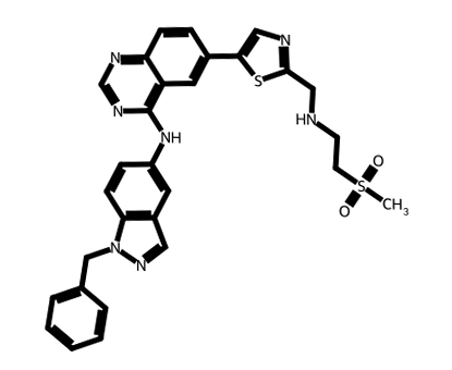 CS(=O)(=O)CCNCc1ncc(-c2ccc3ncnc(Nc4ccc5c(cnn5Cc5ccccc5)c4)c3c2)s1